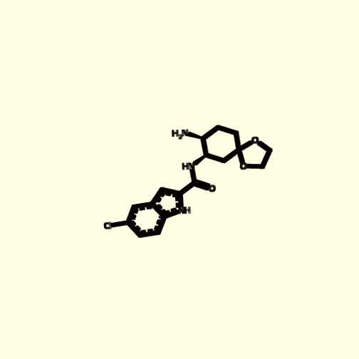 N[C@H]1CCC2(C[C@H]1NC(=O)c1cc3cc(Cl)ccc3[nH]1)OCCO2